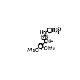 COc1ccc(-c2c[nH]c3nc(NC4CCN(C[SH](=O)=O)CC4)ncc23)c(OC)c1